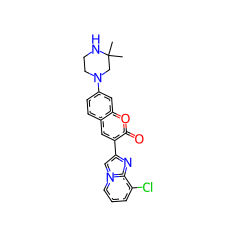 CC1(C)CN(c2ccc3cc(-c4cn5cccc(Cl)c5n4)c(=O)oc3c2)CCN1